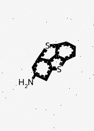 Nc1cc2sc3cccc4sc(c1)c2c34